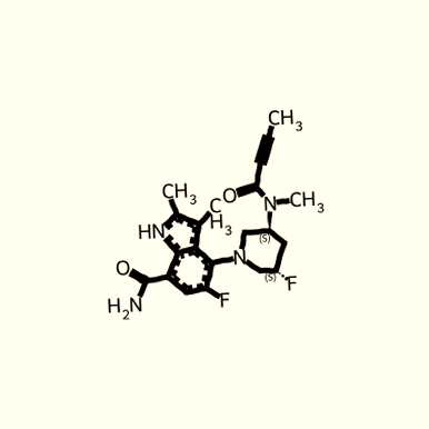 CC#CC(=O)N(C)[C@H]1C[C@H](F)CN(c2c(F)cc(C(N)=O)c3[nH]c(C)c(C)c23)C1